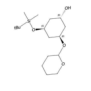 CC(C)(C)[Si](C)(C)O[C@H]1C[C@H](O)C[C@@H](OC2CCCCO2)C1